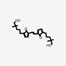 CC(C)(CO)CCCC1=CC=C(C=CC2=CC=C(CCCC(C)(C)CO)C2=O)C1=O